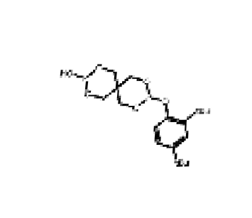 CC(C)(C)c1ccc(OP2OCC3(COP(O)OC3)CO2)c(C(C)(C)C)c1